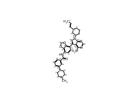 CC=CN1CCC[C@@H](n2nc(-c3ccc(NC(=O)c4cccc(N5CCN(C)CC5)c4)c4c3OCO4)c3c(N)ncnc32)C1